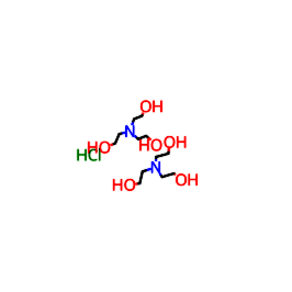 Cl.OCCN(CCO)CCO.OCCN(CCO)CCO